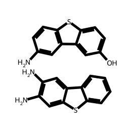 Nc1cc2sc3ccccc3c2cc1N.Nc1ccc2sc3ccc(O)cc3c2c1